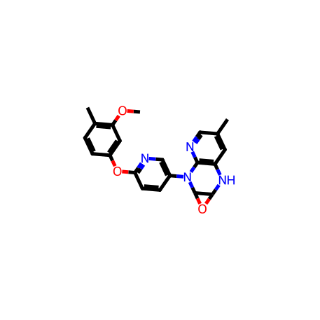 COc1cc(Oc2ccc(N3c4ncc(C)cc4NC4OC43)cn2)ccc1C